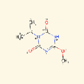 COc1nc(=O)n(C(C)C)c(=O)[nH]1